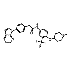 CN1CCC(Oc2ccc(NC(=O)Cc3ccc(-n4cnc5cccnc54)cc3)cc2C(F)(F)F)CC1